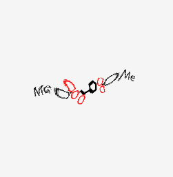 COC(=O)OCC(=O)c1ccc(OC(=O)OC)cc1